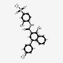 O=C(Nc1ccc(S(=O)(=O)C(F)(F)F)cc1Cl)c1cc(-c2ccc(C(F)(F)F)cc2)c2ccccc2c1O